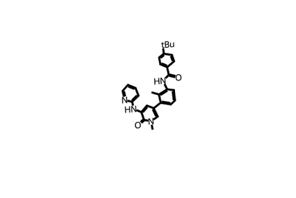 Cc1c(NC(=O)c2ccc(C(C)(C)C)cc2)cccc1-c1cc(Nc2ccccn2)c(=O)n(C)c1